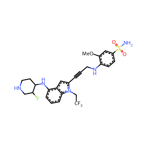 COc1cc(S(N)(=O)=O)ccc1NCC#Cc1cc2c(NC3CCNCC3F)cccc2n1CC(F)(F)F